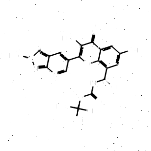 Cc1cc([C@@H](C)NC(=O)OC(C)(C)C)c2oc(-c3cnc4nn(C)cc4c3)c(C)c(=O)c2c1